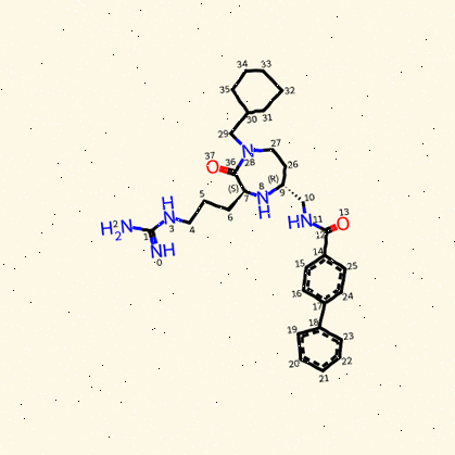 N=C(N)NCCC[C@@H]1N[C@@H](CNC(=O)c2ccc(-c3ccccc3)cc2)CCN(CC2CCCCC2)C1=O